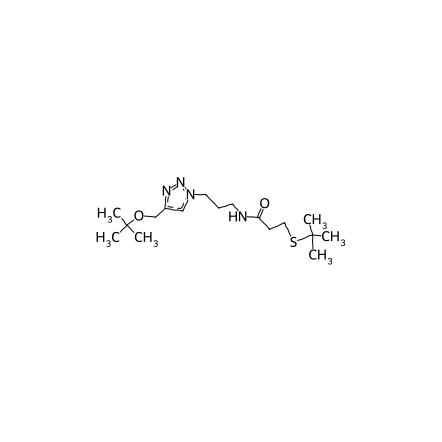 CC(C)(C)OCc1cn(CCCNC(=O)CCSC(C)(C)C)nn1